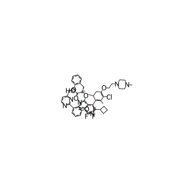 CC1=C(c2c(C3CCC3)ncc3snc(O[C@H](Cc4ccccc4OCc4ccnc(-c5cccc(OC(F)(F)F)c5)n4)C(=O)O)c23)C(C)CC(OCCN2CCN(C)CC2)=C1Cl